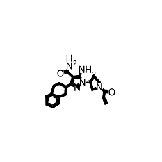 C=CC(=O)N1CC[C@@H](n2nc(C3CCc4ccccc4C3)c(C(N)=O)c2N)C1